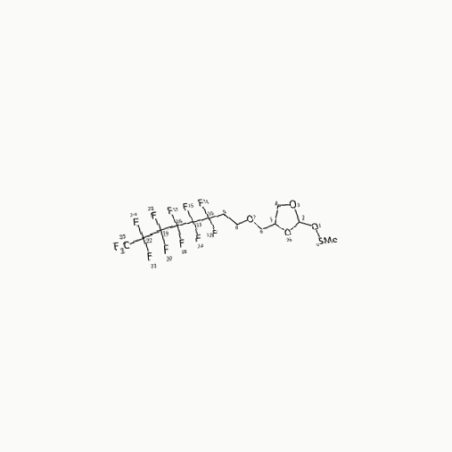 CSOC1OCC(COCCC(F)(F)C(F)(F)C(F)(F)C(F)(F)C(F)(F)C(F)(F)F)O1